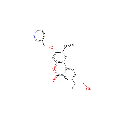 COc1cc2c(cc1OCc1cccnc1)oc(=O)c1cc(C(C)CO)ccc12